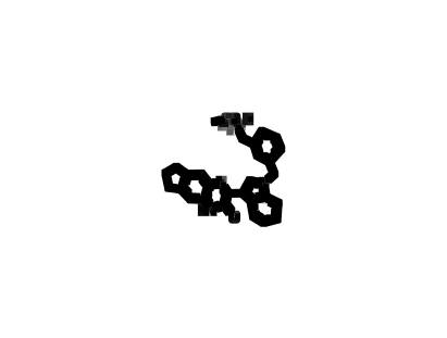 CC(=O)O.NCc1cccc(Cn2cc(-c3nc4cc5c(cc4[nH]c3=O)CCC5)c3ccccc32)c1